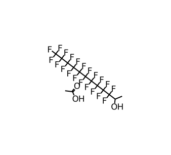 CC(=O)O.CC(O)C(F)(F)C(F)(F)C(F)(F)C(F)(F)C(F)(F)C(F)(F)C(F)(F)C(F)(F)C(F)(F)C(F)(F)F